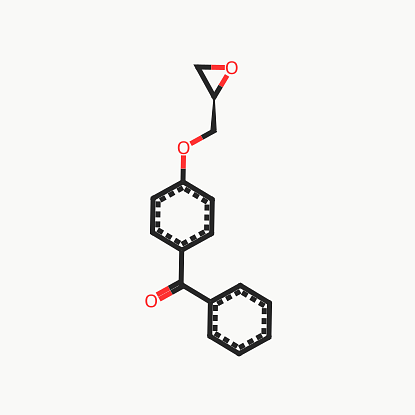 O=C(c1ccccc1)c1ccc(OC[C@H]2CO2)cc1